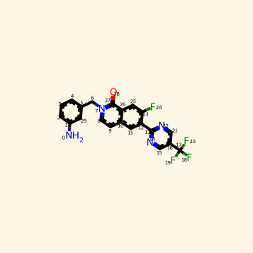 Nc1cccc(Cn2ccc3cc(-c4ncc(C(F)(F)F)cn4)c(F)cc3c2=O)c1